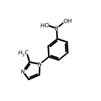 Cc1nccn1-c1cccc(B(O)O)c1